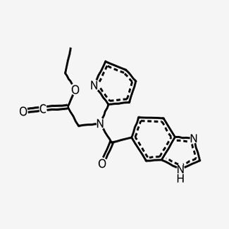 CCOC(=C=O)CN(C(=O)c1ccc2nc[nH]c2c1)c1ccccn1